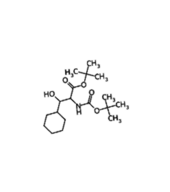 CC(C)(C)OC(=O)NC(C(=O)OC(C)(C)C)C(O)C1CCCCC1